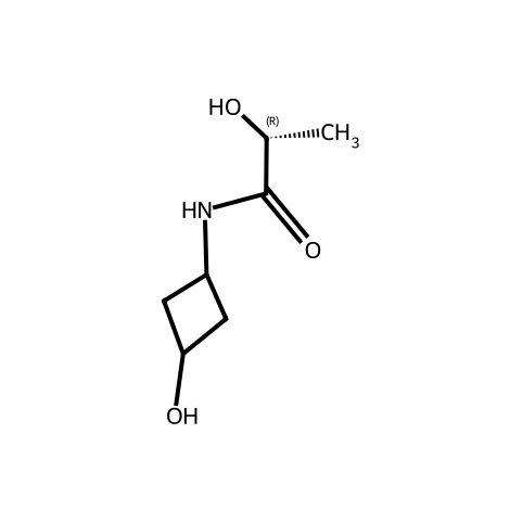 C[C@@H](O)C(=O)NC1CC(O)C1